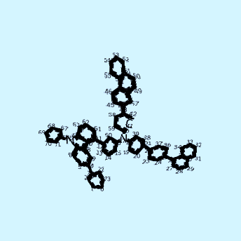 c1ccc(-c2ccc3c(c2)c2c(-c4cccc(N(c5ccc(-c6ccc(-c7cccc8ccccc78)cc6)cc5)c5ccc(-c6ccc7c(ccc8ccccc87)c6)cc5)c4)cccc2n3-c2ccccc2)cc1